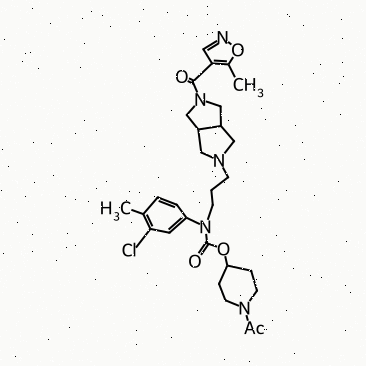 CC(=O)N1CCC(OC(=O)N(CCCN2CC3CN(C(=O)c4cnoc4C)CC3C2)c2ccc(C)c(Cl)c2)CC1